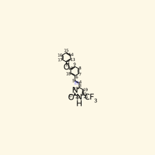 O=c1nc(/C=C/c2cccc(Oc3ccccc3)c2)cc(C(F)(F)F)[nH]1